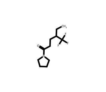 CCC(CCC(=O)N1CCCC1)C(F)(F)F